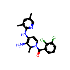 Cc1cnc(NC2=C(N)C(C)N(C(=O)c3cccc(Cl)c3Cl)C=C2)c(C)c1